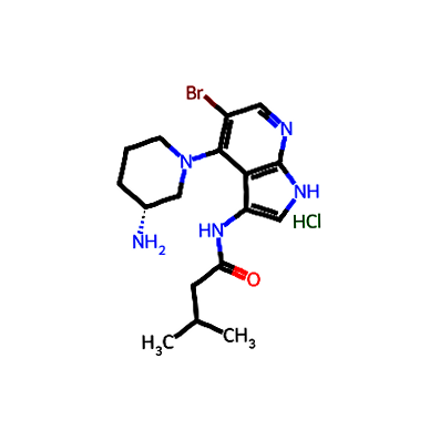 CC(C)CC(=O)Nc1c[nH]c2ncc(Br)c(N3CCC[C@@H](N)C3)c12.Cl